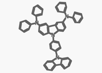 c1ccc(N(c2ccccc2)c2ccc3c(c2)c2cc(N(c4ccccc4)c4ccccc4)ccc2n3-c2ccc(-n3c4ccccc4c4ccccc43)cc2)cc1